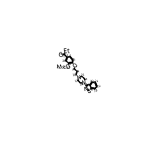 CCC(=O)c1ccc(OCCCN2CCN(c3nsc4ccccc34)CC2)c(OC)c1